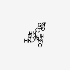 N#C[C@H]1CCOC[C@@H]1n1nc(Nc2ccc(S(=O)(=O)N3CCC3)cc2)c2c(=O)[nH]ccc21